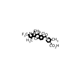 Cc1cc(C(F)(F)F)nc2c1cc(C(=O)c1c(Cl)ccc(C(=O)N3CC[C@@H](CC(=O)O)[C@@H](C)C3)c1Cl)n2C